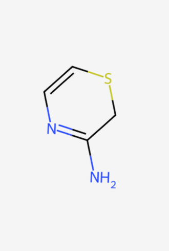 NC1=NC=CSC1